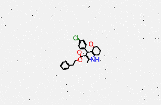 CC1=C(C(=O)OCCc2ccccc2)C(c2ccc(Cl)cc2)C2=C(CCCC2=O)N1